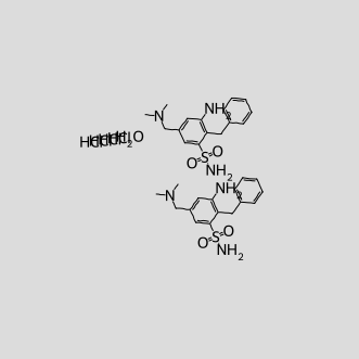 CN(C)Cc1cc(N)c(Cc2ccccc2)c(S(N)(=O)=O)c1.CN(C)Cc1cc(N)c(Cc2ccccc2)c(S(N)(=O)=O)c1.Cl.Cl.Cl.Cl.O